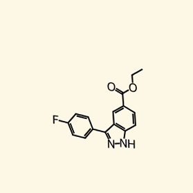 CCOC(=O)c1ccc2[nH]nc(-c3ccc(F)cc3)c2c1